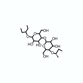 CCC(CC)OC1OC(CO)C(OC2OC(CO)C(O[C@H](C)CC)C(O)C2O)C(O)C1O